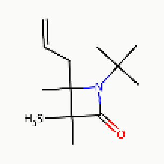 C=CCC1(C)N(C(C)(C)C)C(=O)C1(C)[SiH3]